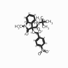 CN1C(=O)C(OC(=O)c2ccc([N+](=O)[O-])cc2)(C(=O)NC(C)(C)C)c2ccccc21